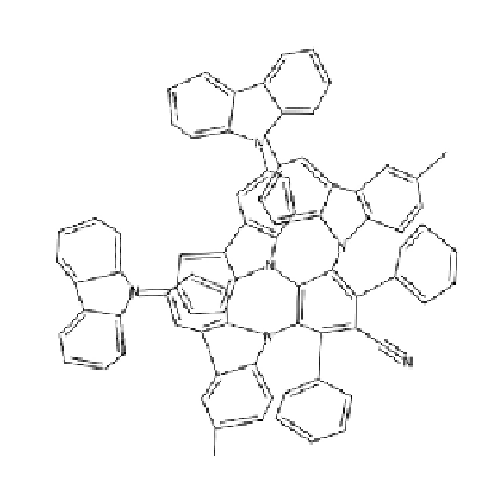 Cc1ccc2c(c1)c1cc(C)ccc1n2-c1c(-c2ccccc2)c(C#N)c(-c2ccccc2)c(-n2c3ccc(C)cc3c3cc(C)ccc32)c1-n1c2ccc(-n3c4ccccc4c4ccccc43)cc2c2cc(-n3c4ccccc4c4ccccc43)ccc21